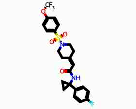 O=C(C=C1CCN(S(=O)(=O)c2ccc(OC(F)(F)F)cc2)CC1)NC1(c2ccc(F)cc2)CC1